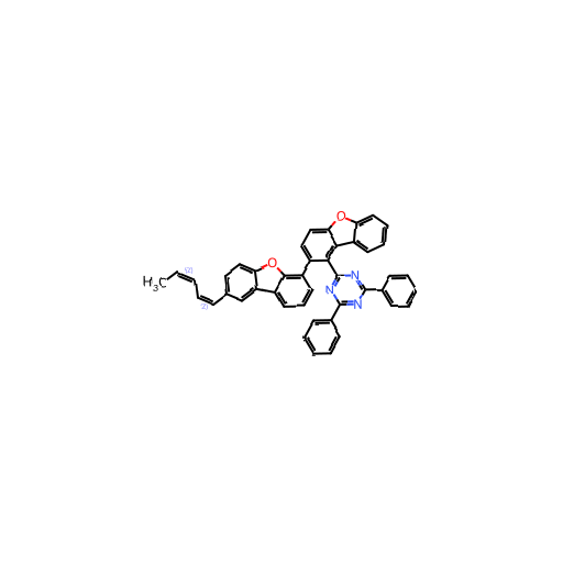 C/C=C\C=C/c1ccc2oc3c(-c4ccc5oc6ccccc6c5c4-c4nc(-c5ccccc5)nc(-c5ccccc5)n4)cccc3c2c1